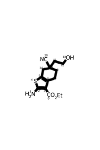 CCOC(=O)c1c(N)sc2c1CCC(C#N)(CCO)C2